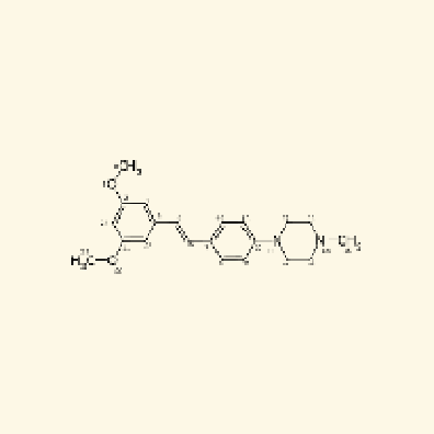 COc1cc(C=Cc2ccc(N3CCN(C)CC3)cc2)cc(OC)c1